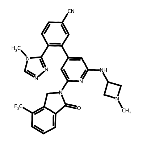 CN1CC(Nc2cc(-c3cc(C#N)ccc3-c3nncn3C)cc(N3Cc4c(cccc4C(F)(F)F)C3=O)n2)C1